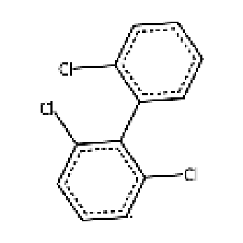 Clc1[c]ccc(Cl)c1-c1ccccc1Cl